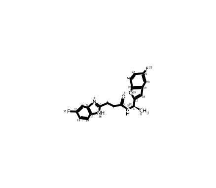 C[C@@H](NC(=O)CCc1nc2cc(F)ccc2[nH]1)c1cc2cc(F)ccc2o1